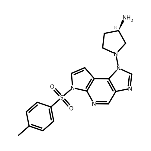 Cc1ccc(S(=O)(=O)n2ccc3c4c(cnc32)ncn4N2CC[C@@H](N)C2)cc1